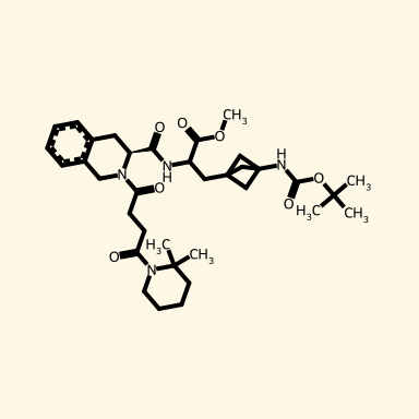 COC(=O)C(CC12CC(NC(=O)OC(C)(C)C)(C1)C2)NC(=O)[C@@H]1Cc2ccccc2CN1C(=O)CCC(=O)N1CCCCC1(C)C